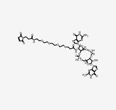 Nc1nc2c(ncn2[C@@H]2O[C@@H]3COP(=O)(S)OC4[C@@H](COP(=O)(S)OC3[C@@H]2O)O[C@@H](n2cnc3c(=O)[nH]c(N)nc32)[C@H]4NC(=O)CCOCCOCCOCCOCCNC(=O)CCN2C(=O)C=CC2=O)c(=O)[nH]1